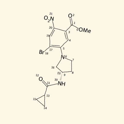 COC(=O)c1cc(N2CC[C@H](NC(=O)C3CC3)C2)c(Br)cc1[N+](=O)[O-]